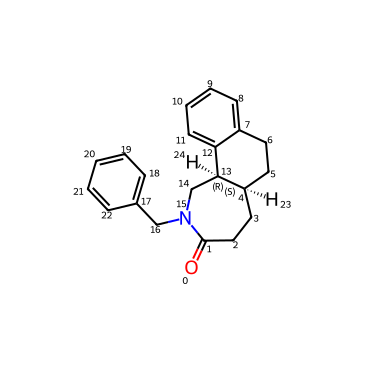 O=C1CC[C@@H]2CCc3ccccc3[C@@H]2CN1Cc1ccccc1